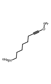 [CH2]CCOC#CCCCCCCCCCCCCC